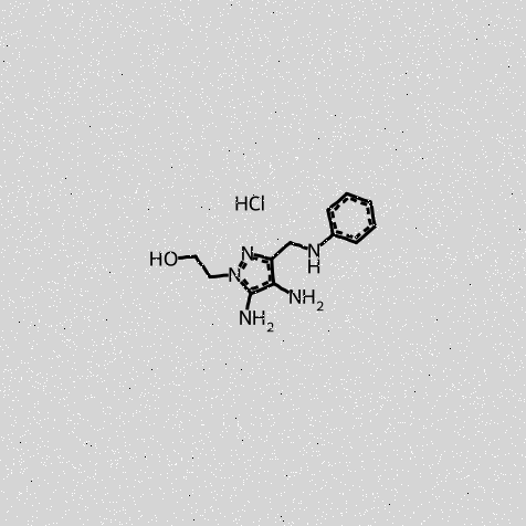 Cl.Nc1c(CNc2ccccc2)nn(CCO)c1N